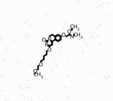 C=CO/C(COc1ccc2c(c1)CCn1c-2cc(OCCCCCOCCOC)nc1=O)=N\C